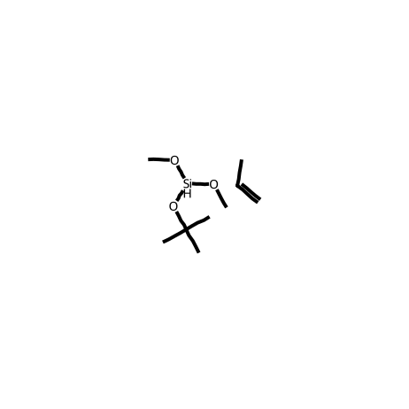 C=CC.CO[SiH](OC)OC(C)(C)C